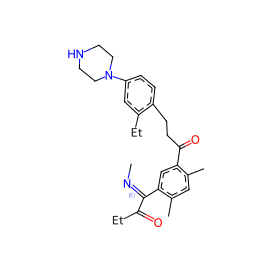 CCC(=O)/C(=N/C)c1cc(C(=O)CCc2ccc(N3CCNCC3)cc2CC)c(C)cc1C